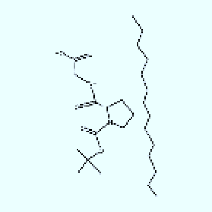 CC(C)(C)OC(=O)N1CCC[C@H]1C(=O)NCC(=O)O.CCCCCCCCCCCCCC